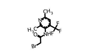 Cc1cc(C(F)(F)F)c(NC(=O)CBr)c(C)n1